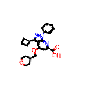 O=C(O)c1cc(OCC2CCOCC2)c2c(C3CCC3)nn(-c3ccccc3)c2n1